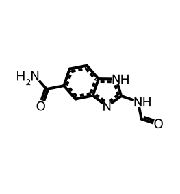 NC(=O)c1ccc2[nH]c(NC=O)nc2c1